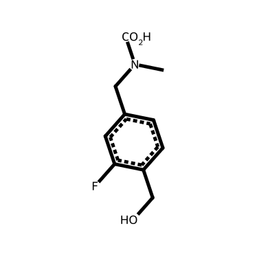 CN(Cc1ccc(CO)c(F)c1)C(=O)O